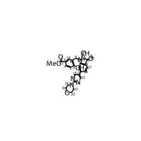 COC(=O)c1ccc(C)c(Cn2c3cc(-c4cnc(N5CCOCC5)nc4)ccc3c(=O)n2C)c1